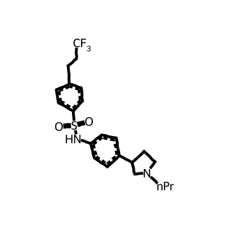 CCCN1CCC(c2ccc(NS(=O)(=O)c3ccc(CCC(F)(F)F)cc3)cc2)C1